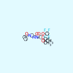 CC(C)(C)OC(=O)C[C@H](NC(=O)C1CCN(C(=O)C23CC4CC(CC(C4)C2)C3)CC1)C(=O)COc1c(F)c(F)cc(F)c1F